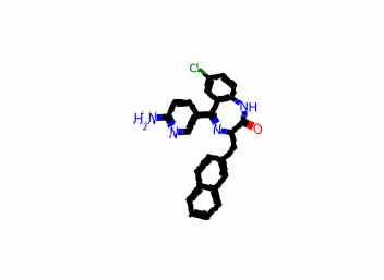 Nc1ccc(C2=NC(Cc3ccc4ccccc4c3)C(=O)Nc3ccc(Cl)cc32)cn1